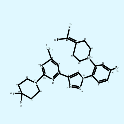 Cc1cc(-c2cn(-c3ccc(Br)cc3N3CCC(=C(F)F)CC3)nn2)nc(N2CCC(F)(F)CC2)n1